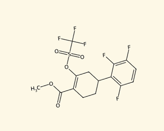 COC(=O)C1=C(OS(=O)(=O)C(F)(F)F)CC(c2c(F)ccc(F)c2F)CC1